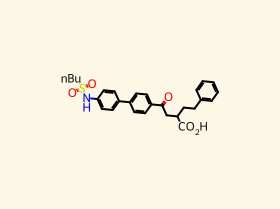 CCCCS(=O)(=O)Nc1ccc(-c2ccc(C(=O)CC(CCc3ccccc3)C(=O)O)cc2)cc1